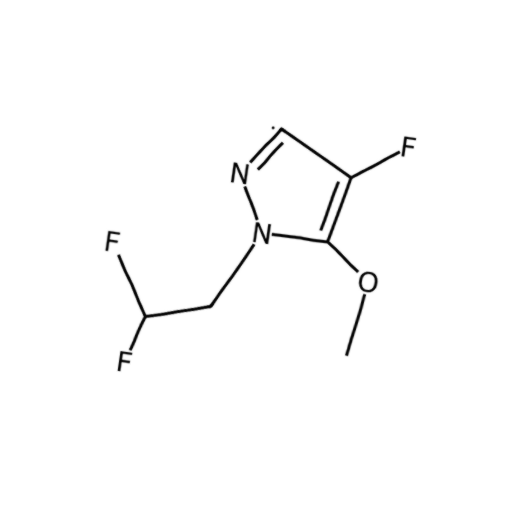 COc1c(F)[c]nn1CC(F)F